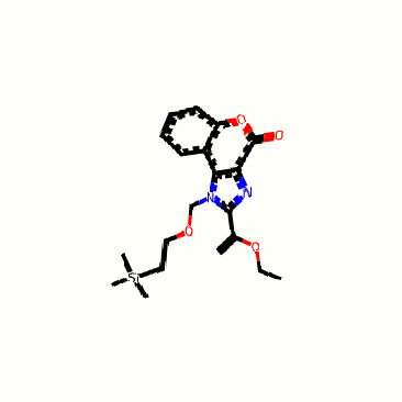 C=C(OCC)c1nc2c(=O)oc3ccccc3c2n1COCC[Si](C)(C)C